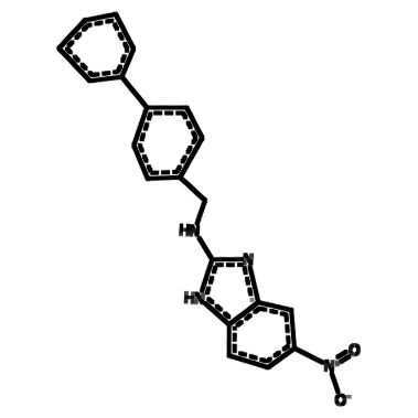 O=[N+]([O-])c1ccc2[nH]c(NCc3ccc(-c4ccccc4)cc3)nc2c1